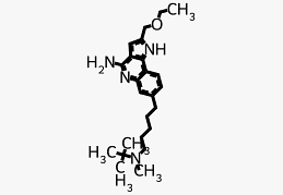 CCOCc1cc2c(N)nc3cc(CCCCCN(C)C(C)(C)C)ccc3c2[nH]1